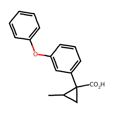 CC1CC1(C(=O)O)c1cccc(Oc2ccccc2)c1